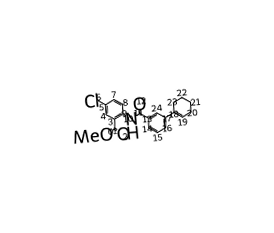 COC(=O)c1cc(Cl)ccc1NC(=O)c1cccc(C2=CCCCC2)c1